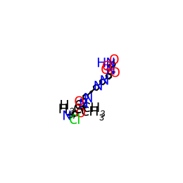 CC1(C)[C@H](Oc2ccc(C#N)c(Cl)c2)C(C)(C)[C@H]1N1Cc2nc(C#CC3CCN(C4CCN(c5ccc6c(c5)C(=O)N(C5CCC(=O)NC5=O)C6=O)CC4)CC3)ccc2C1=O